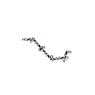 O=C(NCCSCSCC/N=C\[S+]([O-])CCSCSCCSC(=O)NCCSCSCC/N=C\[S+]([O-])CCO)SCCO